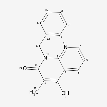 Cc1c(O)c2cccnc2n(Cc2ccccc2)c1=O